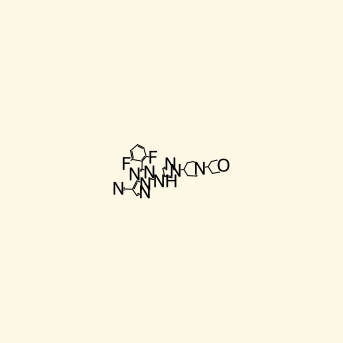 N#Cc1cnn2c(Nc3cnn(C4CCN(C5CCOCC5)CC4)c3)nc(-c3c(F)cccc3F)nc12